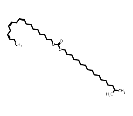 CC/C=C\C/C=C\C/C=C\CCCCCCCCOC(=O)OCCCCCCCCCCCCCCCC(C)C